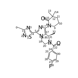 Cc1nsc(-c2nc(N3CCCC(C)(C)C3=O)c3n2CCN(C(=O)c2ccc(F)cc2)[C@@H]3C)n1